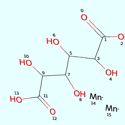 O=C(O)C(O)C(O)C(O)C(O)C(=O)O.[Mn].[Mn]